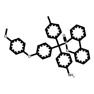 COc1ccc(Oc2ccc(C(c3ccc(C)cc3)(c3ccc(N)cc3)P3(=O)Oc4ccccc4-c4ccccc43)cc2)cc1